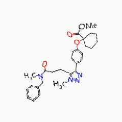 COC(=O)C1(Oc2ccc(-c3nnn(C)c3CCC(=O)N(C)Cc3ccccc3)cc2)CCCCC1